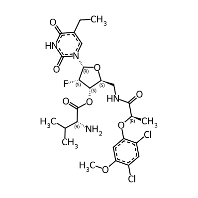 CCc1cn([C@@H]2O[C@@H](CNC(=O)[C@@H](C)Oc3cc(OC)c(Cl)cc3Cl)[C@H](OC(=O)[C@H](N)C(C)C)[C@@H]2F)c(=O)[nH]c1=O